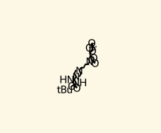 CC(C)(C)OC(=O)NC(=N)N1CCN(CCCCN2CC(COS(C)(=O)=O)OC2=O)CC1